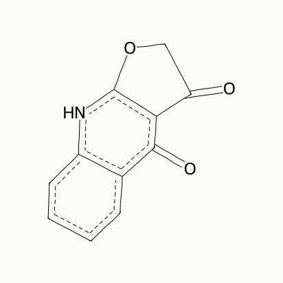 O=C1COc2[nH]c3ccccc3c(=O)c21